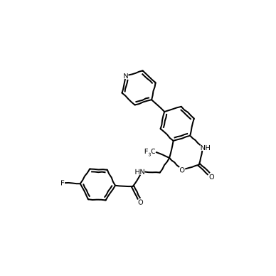 O=C1Nc2ccc(-c3ccncc3)cc2C(CNC(=O)c2ccc(F)cc2)(C(F)(F)F)O1